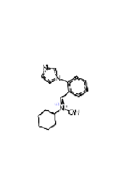 O/[N+](=C\c1ccccc1-n1ccnc1)C1CCCCC1